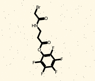 O=C(CBr)NCCC(=O)Oc1c(F)c(F)c(F)c(F)c1F